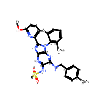 CCOc1cccc(-c2nc3nc(NS(C)(=O)=O)c(NCc4ccc(OC)cc4)nc3n2-c2c(OC)cccc2OC)n1